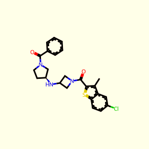 Cc1c(C(=O)N2CC(N[C@H]3CCN(C(=O)c4ccccc4)C3)C2)sc2ccc(Cl)cc12